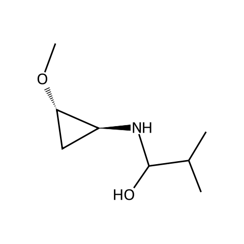 CO[C@H]1C[C@@H]1NC(O)C(C)C